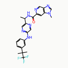 CC(NC(=O)c1cc2c(cn1)ncn2C)c1cnc(Nc2cccc(C(C)(C)C(F)(F)F)c2)cn1